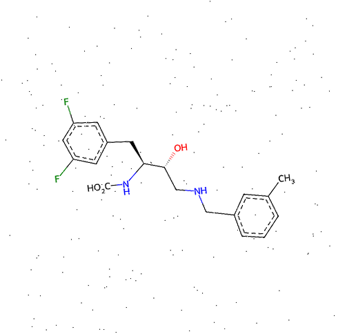 Cc1cccc(CNC[C@@H](O)[C@H](Cc2cc(F)cc(F)c2)NC(=O)O)c1